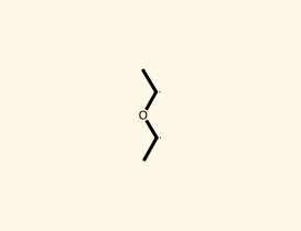 C[CH]O[CH]C